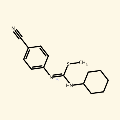 CS/C(=N\c1ccc(C#N)cc1)NC1CCCCC1